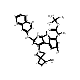 CN(C(=O)OC(C)(C)C)c1cc(F)cc2c1[nH]c1nc(Oc3cnc4cccnc4c3)nc(N3CC4(CC[C@@H]4N)C3)c12